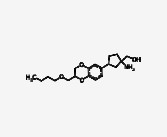 CCCCOCC1COc2cc(C3CCC(N)(CO)C3)ccc2O1